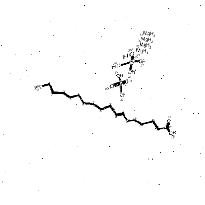 CCCCCCCCCCCCCCCCCC(=O)O.O=S(=O)(O)O.O[Si](O)(O)O.[MgH2].[MgH2].[MgH2].[MgH2]